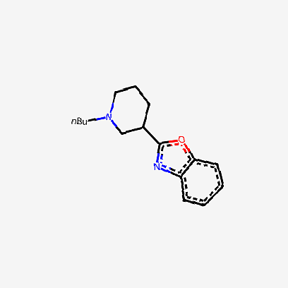 CCCCN1CCCC(c2nc3ccccc3o2)C1